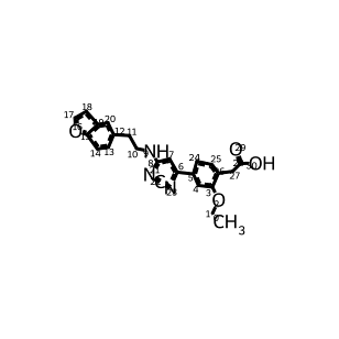 CCOc1cc(-c2cc(NCCc3ccc4occc4c3)ncn2)ccc1CC(=O)O